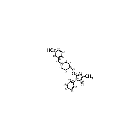 Cc1nc(OCC2CCN(Cc3cccc(O)c3)CC2)n(-c2ccccc2)c1Cl